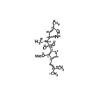 COc1c(C=C(C)C)csc1S(=O)(=O)N(C)c1cc(C)on1